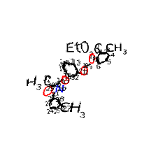 CCOC(=O)c1c(C)cccc1OCCO[C@@H]1CCC[C@H](OCc2nc(-c3cccc(C)c3)oc2C)C1